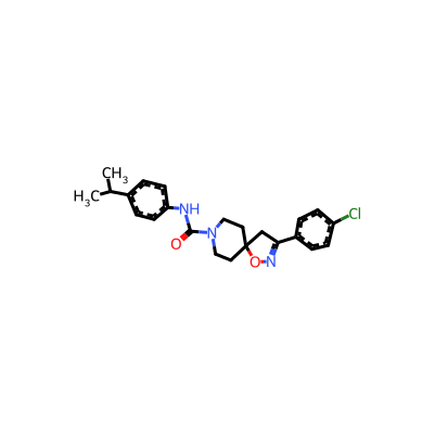 CC(C)c1ccc(NC(=O)N2CCC3(CC2)CC(c2ccc(Cl)cc2)=NO3)cc1